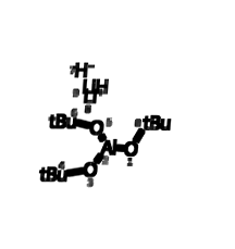 CC(C)(C)[O][Al]([O]C(C)(C)C)[O]C(C)(C)C.[H-].[Li+].[LiH]